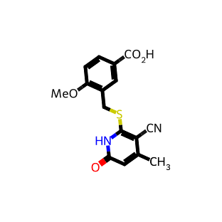 COc1ccc(C(=O)O)cc1CSc1[nH]c(=O)cc(C)c1C#N